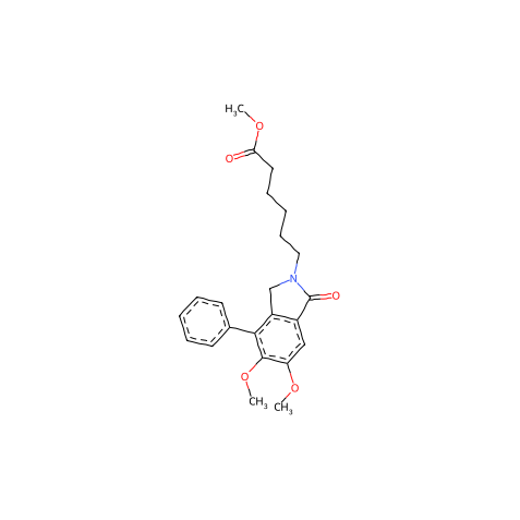 COC(=O)CCCCCN1Cc2c(cc(OC)c(OC)c2-c2ccccc2)C1=O